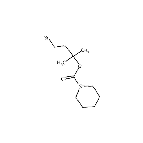 CC(C)(CCBr)OC(=O)N1CCCCC1